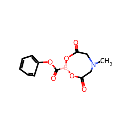 CN1CC(=O)OB(C(=O)Oc2ccccc2)OC(=O)C1